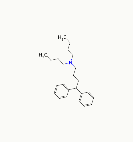 CCCCN(CCCC)CCCC(c1ccccc1)c1ccccc1